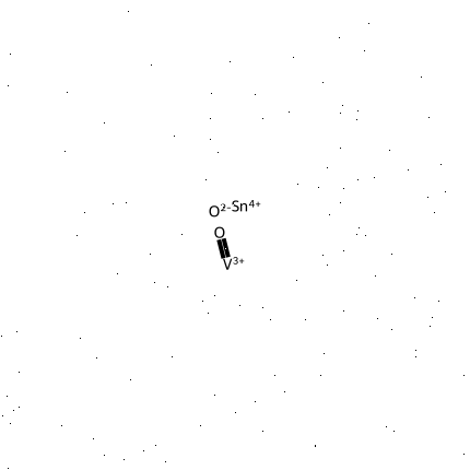 [O-2].[O]=[V+3].[Sn+4]